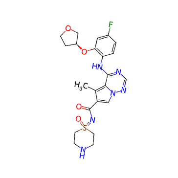 Cc1c(C(=O)N=S2(=O)CCNCC2)cn2ncnc(Nc3ccc(F)cc3O[C@H]3CCOC3)c12